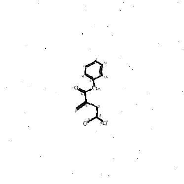 C=C(CC(Cl)Cl)C(=O)Oc1ccccc1